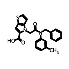 Cc1cccc(N(Cc2ccccc2)C(=O)Cn2c(C(=O)O)cc3sccc32)c1